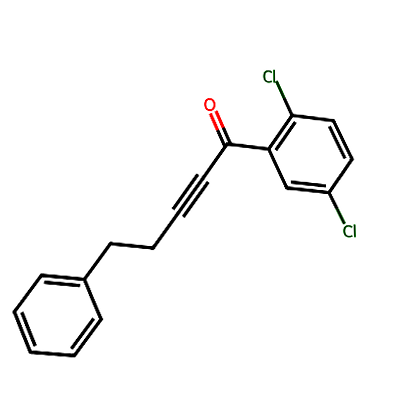 O=C(C#CCCc1ccccc1)c1cc(Cl)ccc1Cl